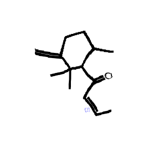 C=C1CCC(C)C(C(=O)/C=C\C)C1(C)C